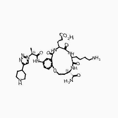 C[C@@H](C(=O)Nc1ccc2c(c1)C(=O)NC(CCC(=O)O)C(=O)NC(CCCCN)C(=O)N[C@H](C(N)=O)CCO2)n1cc(C2CCNCC2)nn1